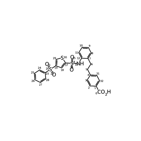 O=C(O)c1ccc(CCc2ccccc2NS(=O)(=O)c2cc(S(=O)(=O)c3ccccc3)cs2)cc1